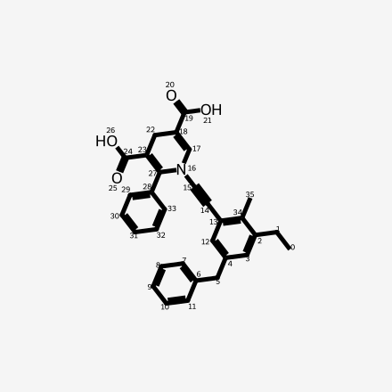 CCc1cc(Cc2ccccc2)cc(C#CN2C=C(C(=O)O)CC(C(=O)O)=C2c2ccccc2)c1C